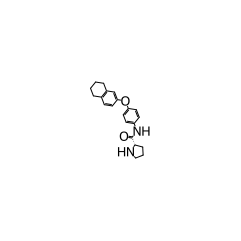 O=C(Nc1ccc(Oc2ccc3c(c2)CCCC3)cc1)[C@@H]1CCCN1